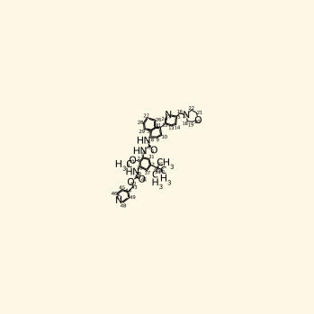 COc1c(NC(=O)Nc2ccc(-c3ccc(CN4CCOCC4)nc3)c3ccccc23)cc(C(C)(C)C)cc1NC(=O)OCc1ccncc1